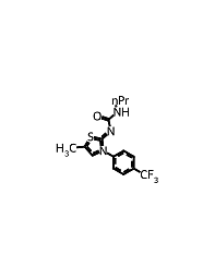 CCCNC(=O)N=c1sc(C)cn1-c1ccc(C(F)(F)F)cc1